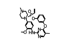 C=CP(C)(=O)Oc1cccc(Oc2nc(Nc3ccc(N4CCN(C)CC4)cc3OC)ncc2C)c1